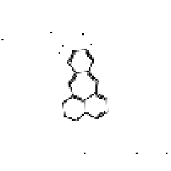 C1=CC2CCCC3=C2C(=C1)C=c1ccccc1=C3